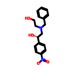 O=[N+]([O-])c1ccc([C@H](O)CN(CCO)Cc2ccccc2)cc1